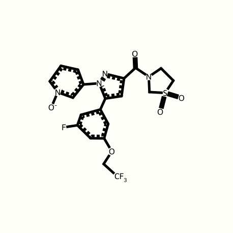 O=C(c1cc(-c2cc(F)cc(OCC(F)(F)F)c2)n(-c2ccc[n+]([O-])c2)n1)N1CCS(=O)(=O)C1